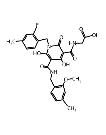 COc1cc(C)ccc1CNC(=O)c1c(O)c(C(=O)NCC(=O)O)c(=O)n(Cc2ccc(C)cc2F)c1O